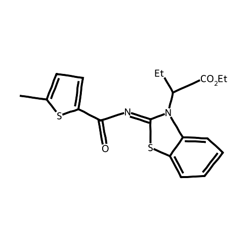 CCOC(=O)C(CC)n1c(=NC(=O)c2ccc(C)s2)sc2ccccc21